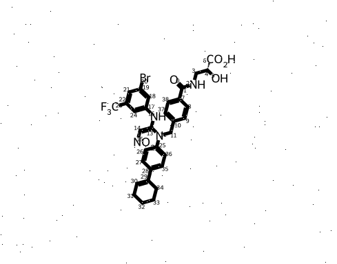 O=C(NC[C@@H](O)C(=O)O)c1ccc(CN(/C(=C\[N+](=O)[O-])Nc2cc(Br)cc(C(F)(F)F)c2)c2ccc(C3=CCCCC3)cc2)cc1